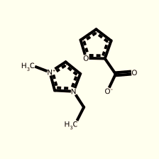 CCn1cc[n+](C)c1.O=C([O-])c1ccco1